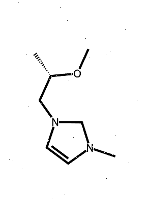 CO[C@@H](C)CN1C=CN(C)C1